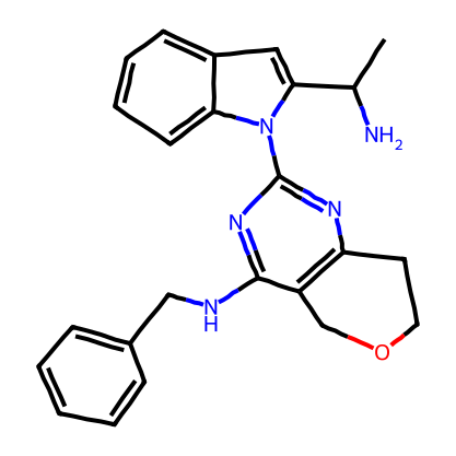 CC(N)c1cc2ccccc2n1-c1nc2c(c(NCc3ccccc3)n1)COCC2